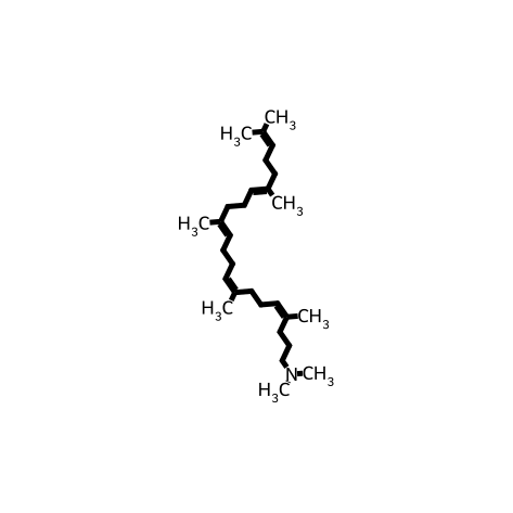 CC(C)=CCCC(C)=CCCC(C)=CCCC=C(C)CCC=C(C)CCCN(C)C